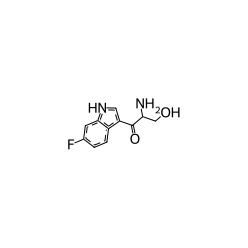 NC(CO)C(=O)c1c[nH]c2cc(F)ccc12